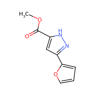 COC(=O)c1cc(-c2ccco2)n[nH]1